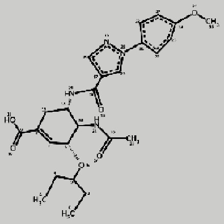 CCC(CC)O[C@@H]1C=C(C(=O)O)C[C@H](NC(=O)c2cnn(-c3ccc(OC)cc3)c2)[C@H]1NC(C)=O